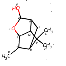 CC1C2OC(O)C3CC1C(C)(C)C32